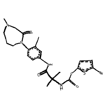 Cc1cc(NC(=O)C(C)(C)NC(=O)Oc2ccc(Br)s2)ccc1N1CCCN(C)CC1=S